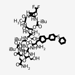 CC[C@H](C)[C@H](NC(=O)[C@H](N)Cc1ccc(-c2ccc(Sc3ccccc3)cc2)cc1)C(=O)N[C@@H](CO)C(=O)N[C@H](CCC(N)=O)C(=O)N[C@@H](C(=O)N[C@H](C(=O)N[C@@H](CO)C(=O)N[C@H]1C(=O)N[C@@H](C)C(=O)NC2(CC2CC(F)F)C(=O)N[C@@H]([C@@H](C)CC)C(=O)O[C@H]1C)[C@@H](C)CC)[C@@H](C)CC